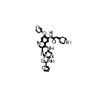 N#Cc1cnc2cc(OC3CCOC3)c(NC(=O)C=C3CCNCC3)cc2c1Nc1cnc(NC(=O)c2ccco2)nc1